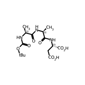 C[C@H](NC(=O)OC(C)(C)C)C(=O)N[C@@H](C)C(=O)N[C@@H](CC(=O)O)C(=O)O